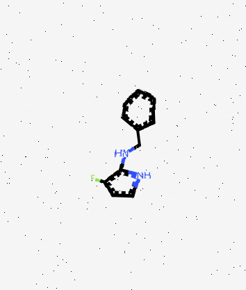 Fc1cc[nH]c1NCc1ccccc1